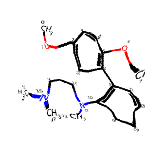 COc1ccc(OC)c(C2=C(N(C)CCN(C)C)[CH]CC=C2)c1